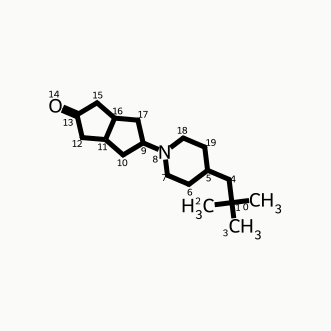 CC(C)(C)CC1CCN(C2CC3CC(=O)CC3C2)CC1